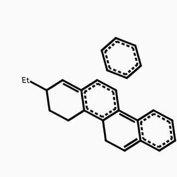 CCC1C=c2ccc3c(c2CC1)CC=c1ccccc1=3.c1ccccc1